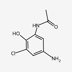 CC(=O)Nc1cc(N)cc(Cl)c1O